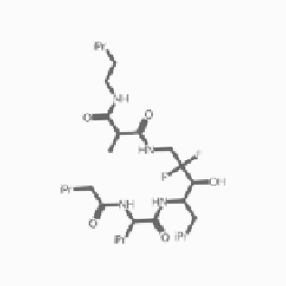 CC(C)CCNC(=O)C(C)C(=O)NCC(F)(F)C(O)C(CC(C)C)NC(=O)C(NC(=O)CC(C)C)C(C)C